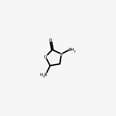 BC1CN(B)C(=O)O1